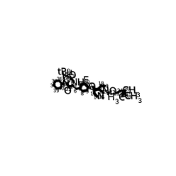 CC(C)(C)OC(=O)N[C@@H](Cc1ccc(Oc2ccnc3c2ccn3COCCS(C)(C)C)c(F)c1)C(=O)NC1CCCCC1